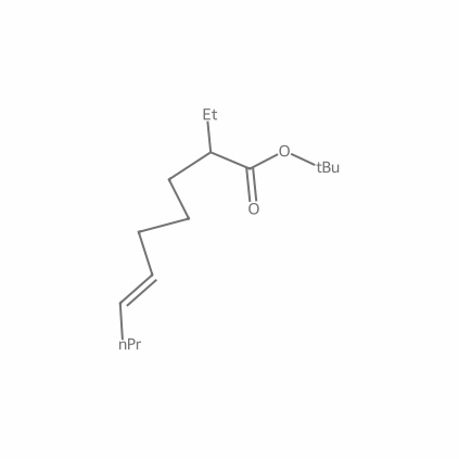 CCC/C=C/CCCC(CC)C(=O)OC(C)(C)C